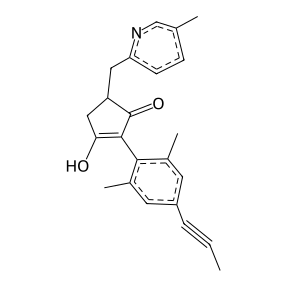 CC#Cc1cc(C)c(C2=C(O)CC(Cc3ccc(C)cn3)C2=O)c(C)c1